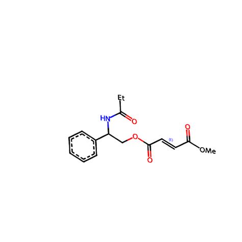 CCC(=O)NC(COC(=O)/C=C/C(=O)OC)c1ccccc1